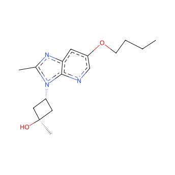 CCCCOc1cnc2c(c1)nc(C)n2[C@H]1C[C@](C)(O)C1